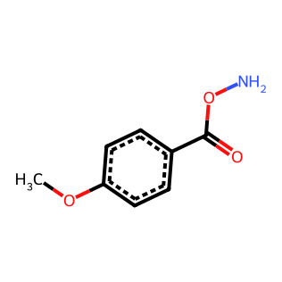 COc1ccc(C(=O)ON)cc1